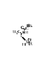 CC[Si](C#CC[C@@H](C)NC(=O)OC(C)(C)C)(CC)CC